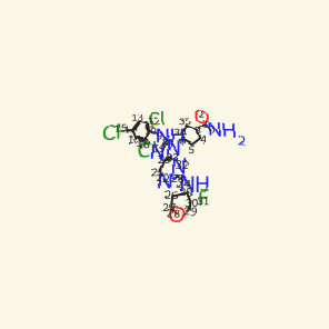 NC(=O)[C@H]1CC[C@@H](n2c(Nc3c(Cl)cc(Cl)cc3Cl)nc3cnc(N[C@@H]4CCOC[C@H]4F)nc32)CC1